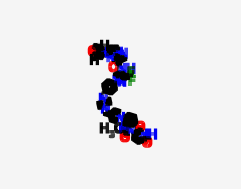 Cn1c(=O)n(C2CCC(=O)NC2=O)c2cccc(N3CCC(CN4CCN(C[C@H]5CC[C@H](n6cc(NC(=O)c7cnn8ccc(N9C[C@H]%10C[C@@H]9CO%10)nc78)c(C(F)F)n6)CC5)CC4)CC3)c21